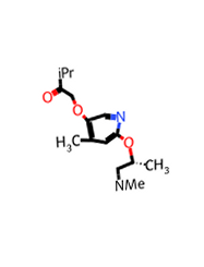 CNC[C@@H](C)Oc1cc(C)c(OCC(=O)C(C)C)cn1